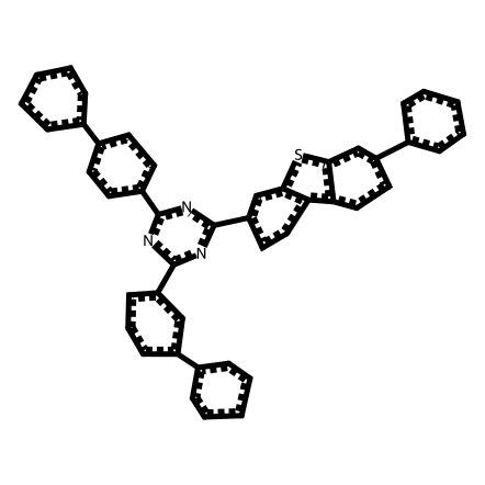 c1ccc(-c2ccc(-c3nc(-c4cccc(-c5ccccc5)c4)nc(-c4ccc5c(c4)sc4cc(-c6ccccc6)ccc45)n3)cc2)cc1